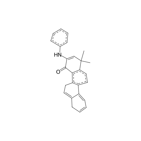 CC1(C)C=C(Nc2ccccc2)C(=O)c2c1ccc1c2CC=C2CC=CC=C21